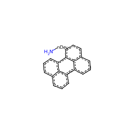 CCCCCCCCCCN.c1cc2cccc3c4cccc5cccc(c(c1)c23)c54